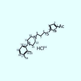 CC(=O)c1ccc(SCCCN2CCN(c3cccc(C)c3C)CC2)s1.Cl